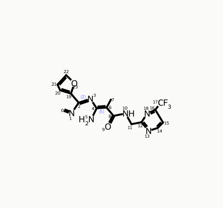 C=N/C(=N\C(N)=C(/C)C(=O)NCc1nccc(C(F)(F)F)n1)c1ccco1